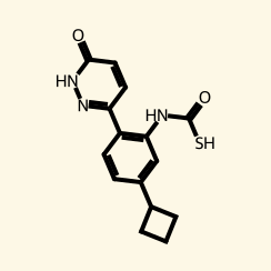 O=C(S)Nc1cc(C2CCC2)ccc1-c1ccc(=O)[nH]n1